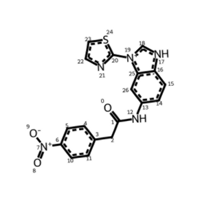 O=C(Cc1ccc([N+](=O)[O-])cc1)Nc1ccc2[nH]c[n+](-c3nccs3)c2c1